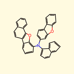 c1ccc2c(N(c3ccc4c(c3)oc3ccccc34)c3cccc4c3oc3c5ccccc5ccc43)cccc2c1